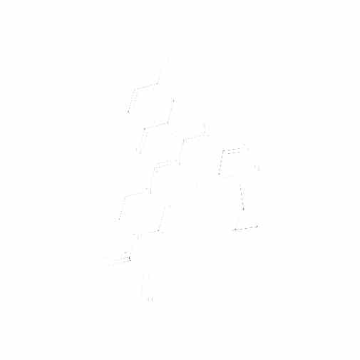 C[C@@H]1CN(c2nc(Nc3n[nH]c(C4CC4)c3F)c3cc(Cl)ccc3n2)CCN1C(=O)OC(C)(C)C